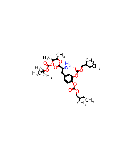 CCC(C)COC(=O)Oc1ccc(C[C@H](N)C(=O)O[C@@H](C)C(C)OC(=O)OC(C)(C)C)cc1OC(=O)OCC(C)CC